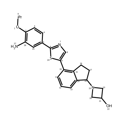 CC(C)Oc1ccc(-c2ncc(-c3cccc4c3CCC4N3CC(O)C3)s2)cc1N